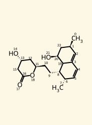 C[C@H]1C=C2C=C[C@H](C)[C@H](CC[C@@H]3C[C@@H](O)CC(=O)O3)C2[C@@H](O)C1